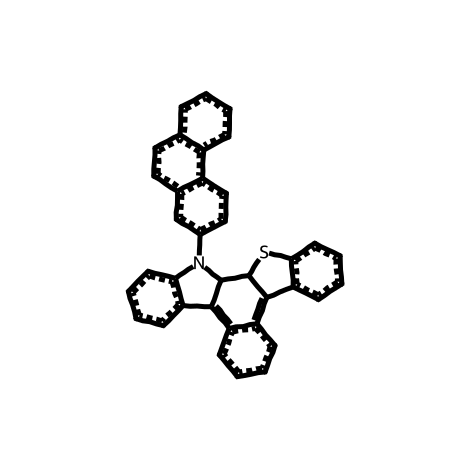 c1ccc2c(c1)SC1C2=c2ccccc2=C2c3ccccc3N(c3ccc4c(ccc5ccccc54)c3)C21